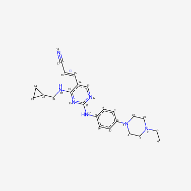 CCN1CCN(c2ccc(Nc3ncc(/C=C/C#N)c(NCC4CC4)n3)cc2)CC1